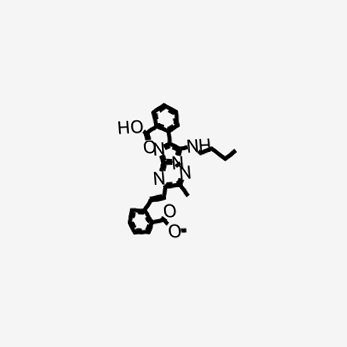 CCCCNc1c(-c2ccccc2C(=O)O)nc2nc(C=Cc3ccccc3C(=O)OC)c(C)nn12